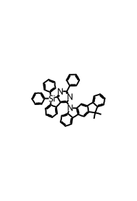 CC1(C)c2ccccc2-c2cc3c(cc21)c1ccccc1n3-c1nc(-c2ccccc2)nc2c1-c1ccccc1[Si]2(c1ccccc1)c1ccccc1